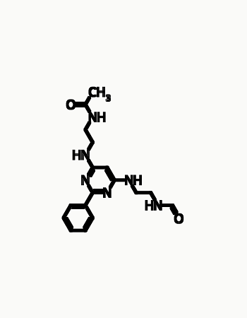 CC(=O)NCCNc1cc(NCCNC=O)nc(-c2ccccc2)n1